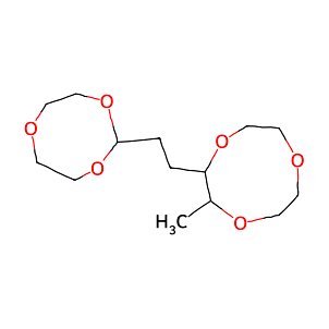 CC1OCCOCCOC1CCC1OCCOCCO1